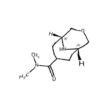 CN(C)C(=O)C1C[C@H]2COC[C@@H](C1)N2